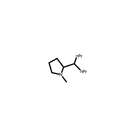 CCCC(CCC)C1CCCN1C